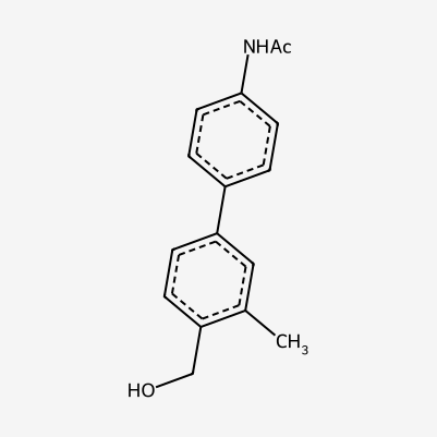 CC(=O)Nc1ccc(-c2ccc(CO)c(C)c2)cc1